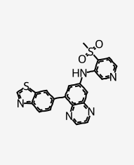 CS(=O)(=O)c1ccncc1Nc1cc(-c2ccc3ncsc3c2)c2nccnc2c1